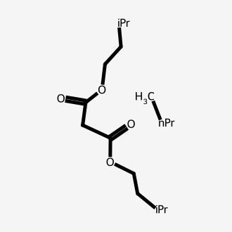 CC(C)CCOC(=O)CC(=O)OCCC(C)C.CCCC